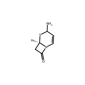 NC1C=CN2C(=O)C[C@H]2S1